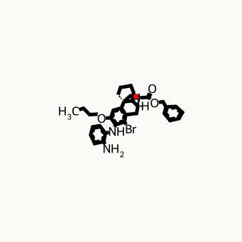 CCCCOc1cc2c(c(Br)c1Nc1ccccc1N)C[C@H]1[C@H]3CCCC[C@@]23CCN1C(=O)OCc1ccccc1